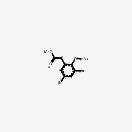 CCCCOc1c(Br)cc(Br)cc1CC(=O)OC